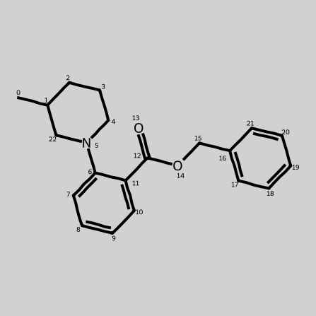 CC1CCCN(c2ccccc2C(=O)OCc2ccccc2)C1